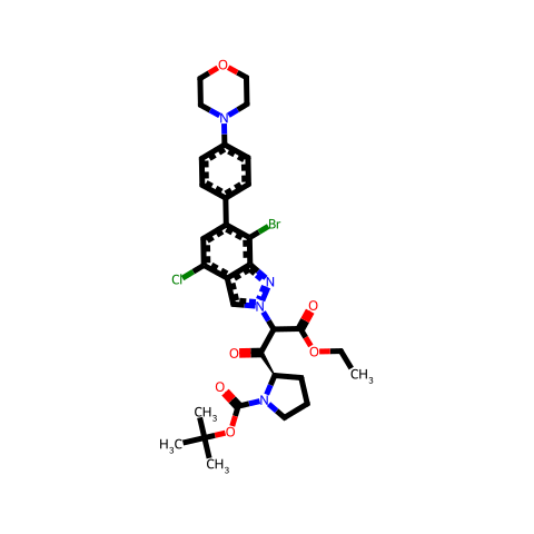 CCOC(=O)C(C(=O)[C@H]1CCCN1C(=O)OC(C)(C)C)n1cc2c(Cl)cc(-c3ccc(N4CCOCC4)cc3)c(Br)c2n1